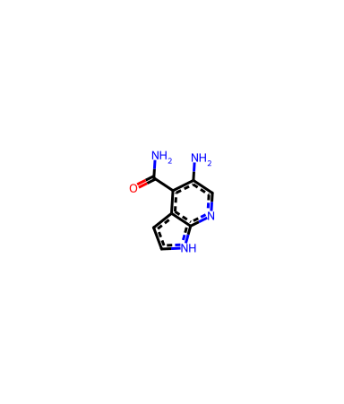 NC(=O)c1c(N)cnc2[nH]ccc12